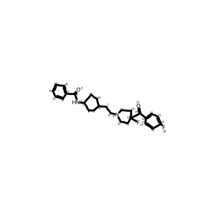 O=C(NC1CCC(CCN2CCC(F)(C(=O)c3ccc(F)cc3)CC2)CC1)c1ccccc1